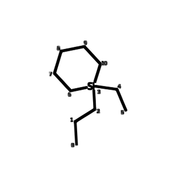 CCC[Si]1(CC)CCCCC1